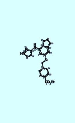 CCOC(=O)c1ccc(CSc2nc(Nc3cc[nH]n3)c3cccn3n2)cc1